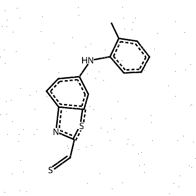 Cc1ccccc1Nc1ccc2nc(C=S)sc2c1